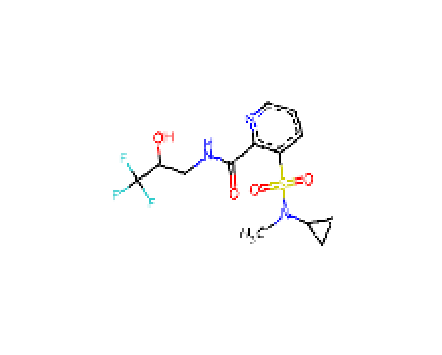 CN(C1CC1)S(=O)(=O)c1cccnc1C(=O)NCC(O)C(F)(F)F